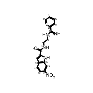 N=C(NCCNC(=O)c1cc2ccc([N+](=O)[O-])cc2[nH]1)c1ccccn1